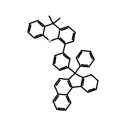 CC1(C)c2ccccc2Oc2c(-c3cccc(C4(c5ccccc5)C5=C(C=CCC5)c5c4ccc4ccccc54)c3)cccc21